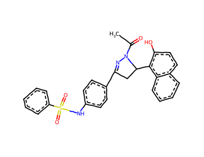 CC(=O)N1N=C(c2ccc(NS(=O)(=O)c3ccccc3)cc2)CC1c1c(O)ccc2ccccc12